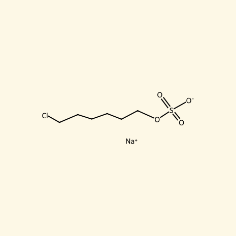 O=S(=O)([O-])OCCCCCCCl.[Na+]